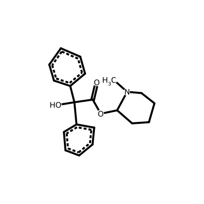 CN1CCCCC1OC(=O)C(O)(c1ccccc1)c1ccccc1